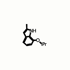 Cc1cc2cccc(OC(C)C)c2[nH]1